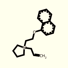 C=CC[N+]1(CCOc2cccc3ccccc23)CCCC1